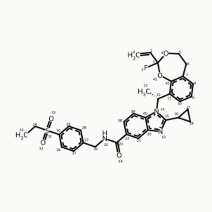 C=CC1(F)OCCc2cccc([C@@H](C)n3c(C4CC4)nc4cc(C(=O)NCc5ccc(S(=O)(=O)CC)cc5)ccc43)c2O1